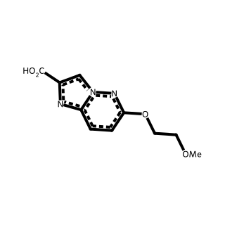 COCCOc1ccc2nc(C(=O)O)cn2n1